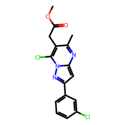 COC(=O)Cc1c(C)nc2cc(-c3cccc(Cl)c3)nn2c1Cl